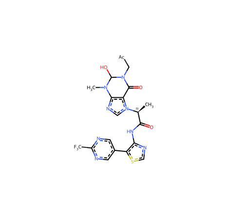 CC(=O)CN1C(=O)c2c(ncn2[C@@H](C)C(=O)Nc2ncsc2-c2cnc(C(F)(F)F)nc2)N(C)C1O